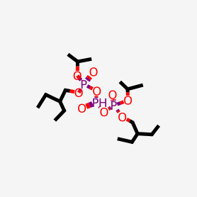 CCC(CC)COP(=O)(OC(C)C)O[PH](=O)OP(=O)(OCC(CC)CC)OC(C)C